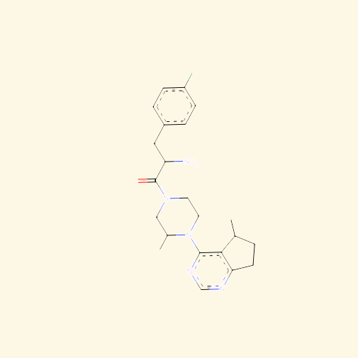 CC1CCc2ncnc(N3CCN(C(=O)C(N)Cc4ccc(Cl)cc4)CC3C)c21.Cl.Cl